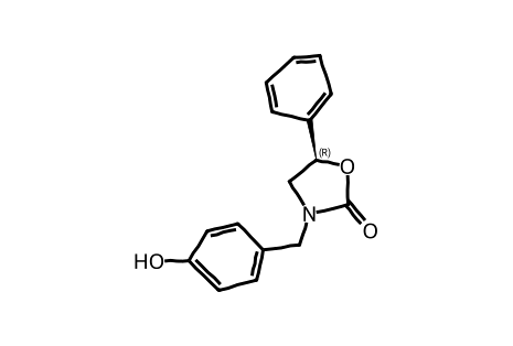 O=C1O[C@H](c2ccccc2)CN1Cc1ccc(O)cc1